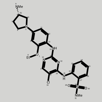 CCOc1cc(N2CC[C@H](NC)C2)ccc1Nc1ncc(Cl)c(Nc2ccccc2S(=O)(=O)NC)n1